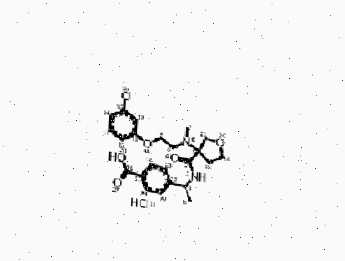 C[C@H](NC(=O)C1(N(C)CCOc2cccc(Cl)c2)CCOC1)c1ccc(C(=O)O)cc1.Cl